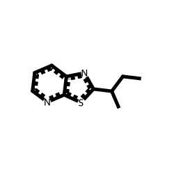 CCC(C)c1nc2cccnc2s1